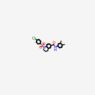 Cc1ccc(NC(=O)c2ccc3c(c2)CCCN3S(=O)(=O)c2ccc(Cl)cc2)cc1C